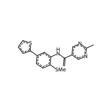 C=C(Nc1cc(-c2cccs2)ccc1SC)c1cnc(C)nc1